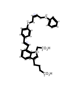 O=C(O)CCCc1cn(CC(=O)O)c2c(/C=C/c3ccc(OC/C=C\COc4ccccc4)cc3)cccc12